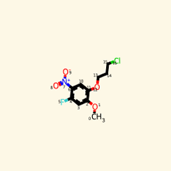 COc1cc(F)c([N+](=O)[O-])cc1OCCCCl